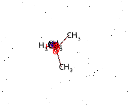 CCCCCCCCCCCCCCCCCC(=O)OC[C@@H](COP(=O)(O)OCC[N+](C)(C)C)OC(=O)CCCCCCCCCCCCCCCCC